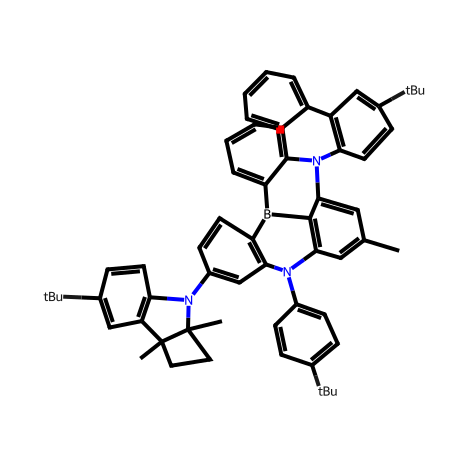 Cc1cc2c3c(c1)N(c1ccc(C(C)(C)C)cc1-c1ccccc1)c1ccccc1B3c1ccc(N3c4ccc(C(C)(C)C)cc4C4(C)CCC34C)cc1N2c1ccc(C(C)(C)C)cc1